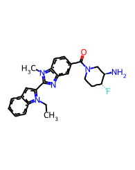 CCn1c(-c2nc3cc(C(=O)N4CC[C@@H](F)[C@H](N)C4)ccc3n2C)cc2ccccc21